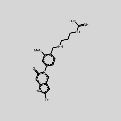 CCc1cc2cn(-c3ccc(CNCCCNC(=N)N)c(OC)c3)c(=O)nc2[nH]1